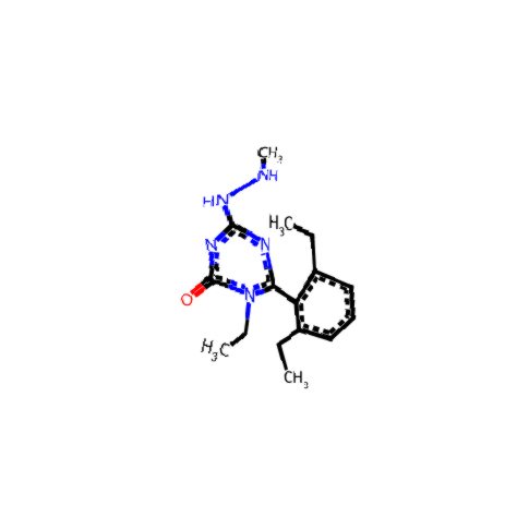 CCc1cccc(CC)c1-c1nc(NNC)nc(=O)n1CC